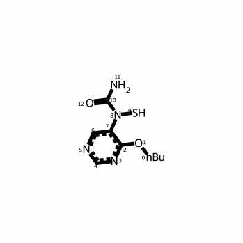 CCCCOc1ncncc1N(S)C(N)=O